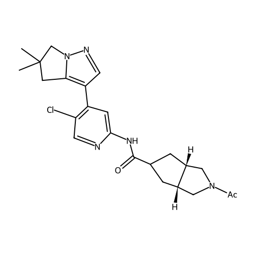 CC(=O)N1C[C@H]2CC(C(=O)Nc3cc(-c4cnn5c4CC(C)(C)C5)c(Cl)cn3)C[C@H]2C1